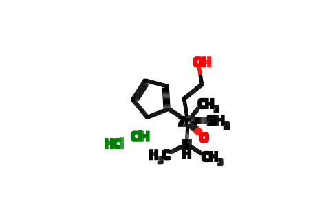 C[SiH](C)[Zr]([CH3])(=[O])(=[SiH2])([CH2]CO)[C]1=CC=CC1.Cl.Cl